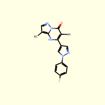 CC(C)c1c(-c2cnn(-c3ccc(F)cc3)c2)[nH]c2c(C#N)cnn2c1=O